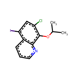 CC(C)Oc1c(Cl)cc(I)c2cccnc12